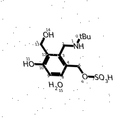 CC(C)(C)NCc1c(COS(=O)(=O)O)ccc(O)c1CO.O